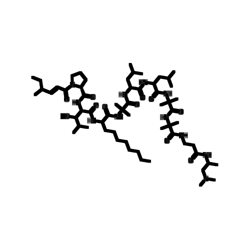 CCCCCCCCC(NC(=O)C(NC(=O)[C@@H]1CCCN1C(=O)/C=C/C(C)CC)C(O)C(C)C)C(=O)NC(C)(C)C(=O)NC(CC(C)C)C(=O)NC(CC(C)C)C(=O)NC(C)(C)C(=O)NC(C)(C)C(=O)NCCC(=O)NC(C)CN(C)C